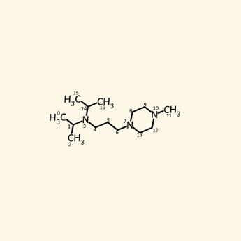 CC(C)N(CCCN1CCN(C)CC1)C(C)C